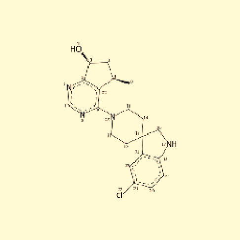 C[C@@H]1C[C@H](O)c2ncnc(N3CCC4(CC3)CNc3ccc(Cl)cc34)c21